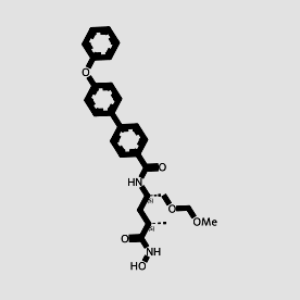 COCOC[C@H](C[C@H](C)C(=O)NO)NC(=O)c1ccc(-c2ccc(Oc3ccccc3)cc2)cc1